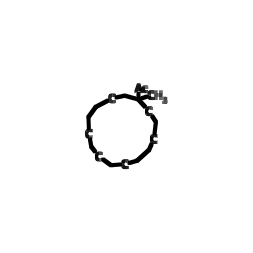 CC(=O)C1(C)CCCCCCCCCCCCCC1